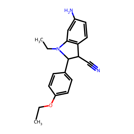 CCOc1ccc(C2C(C#N)c3ccc(N)cc3N2CC)cc1